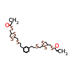 C=CC(=O)SCC1CSC(CSCCc2cccc(CCSCC3SCC(CSC(=O)C=C)S3)c2)S1